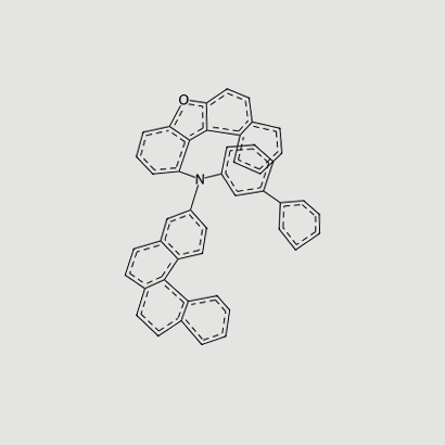 c1ccc(-c2cccc(N(c3ccc4c(ccc5ccc6ccccc6c54)c3)c3cccc4oc5ccc6ccccc6c5c34)c2)cc1